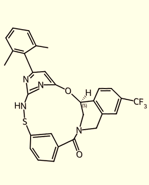 Cc1cccc(C)c1-c1cc2nc(n1)NSc1cccc(c1)C(=O)N1Cc3cc(C(F)(F)F)ccc3[C@@H](C1)O2